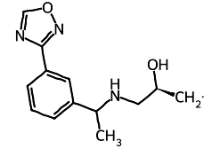 [CH2][C@H](O)CNC(C)c1cccc(-c2ncon2)c1